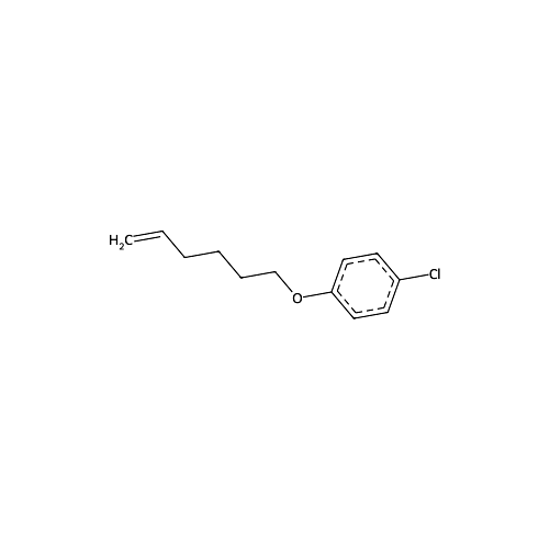 C=CCCCCOc1ccc(Cl)cc1